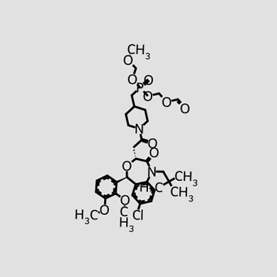 COCOP(=O)(CC1CCN(C(=O)C[C@H]2O[C@H](c3cccc(OC)c3OC)c3cc(Cl)ccc3N(CC(C)(C)C)C2=O)CC1)OCOC=O